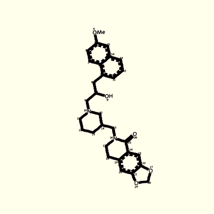 COc1ccc2c(CC(O)CN3CCCC(CN4CCc5cc6c(cc5C4=O)OCO6)C3)cccc2c1